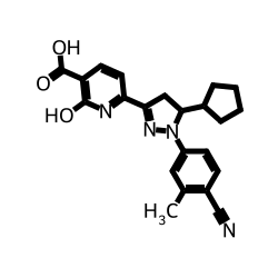 Cc1cc(N2N=C(c3ccc(C(=O)O)c(O)n3)CC2C2CCCC2)ccc1C#N